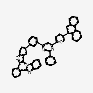 c1ccc(-c2nc(-c3ccc(-c4cc5ccccc5c5ccccc45)cc3)cc(-c3cccc(-c4ccc5oc6c7ccccc7c7nc8ccccc8n7c6c5c4)c3)n2)cc1